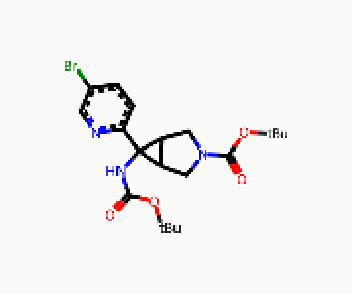 CC(C)(C)OC(=O)NC1(c2ccc(Br)cn2)C2CN(C(=O)OC(C)(C)C)CC21